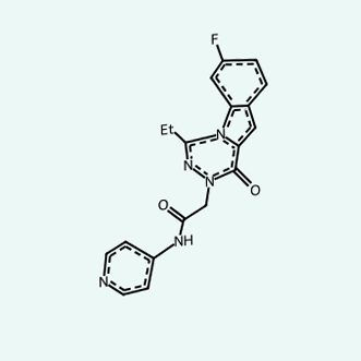 CCc1nn(CC(=O)Nc2ccncc2)c(=O)c2cc3ccc(F)cc3n12